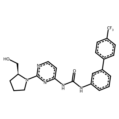 O=C(Nc1cccc(-c2ccc(C(F)(F)F)cc2)c1)Nc1ccnc(N2CCC[C@H]2CO)n1